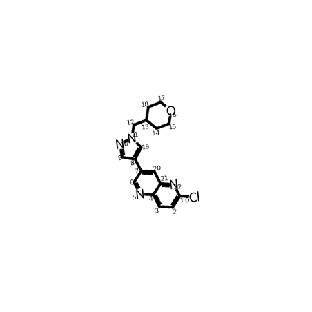 Clc1ccc2ncc(-c3cnn(CC4CCOCC4)c3)cc2n1